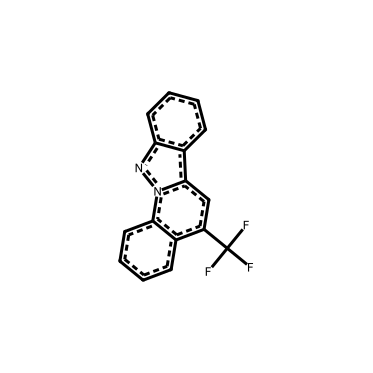 FC(F)(F)c1cc2c3ccccc3nn2c2ccccc12